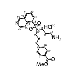 COC(=O)c1ccc(CCCN(CCCN)S(=O)(=O)c2cccc3cnccc23)cc1.Cl